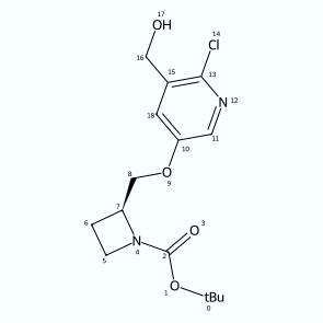 CC(C)(C)OC(=O)N1CC[C@H]1COc1cnc(Cl)c(CO)c1